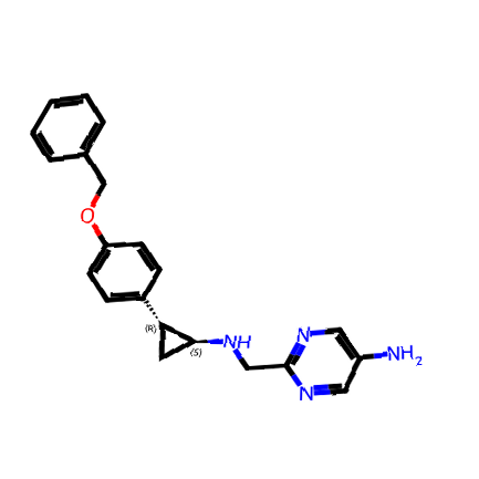 Nc1cnc(CN[C@H]2C[C@@H]2c2ccc(OCc3ccccc3)cc2)nc1